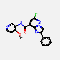 CC(C)Oc1ccncc1NC(=O)c1cc(Cl)nn2cc(-c3ccccc3)nc12